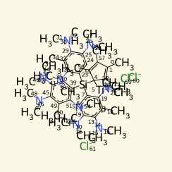 CC1=C(C)[C]([Ti+3])([Si](c2cc(N(C)C)c(N(C)C)c(C)c2N(C)C)(c2cc(N(C)C)c(N(C)C)c(C)c2N(C)C)c2cc(N(C)C)c(N(C)C)c(C)c2N(C)C)C(C)=C1C.[Cl-].[Cl-].[Cl-]